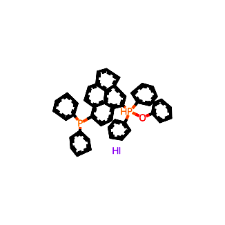 I.c1ccc(O[PH](c2ccccc2)(c2ccccc2)c2cc3cccc4ccc5c(P(c6ccccc6)c6ccccc6)ccc2c5c43)cc1